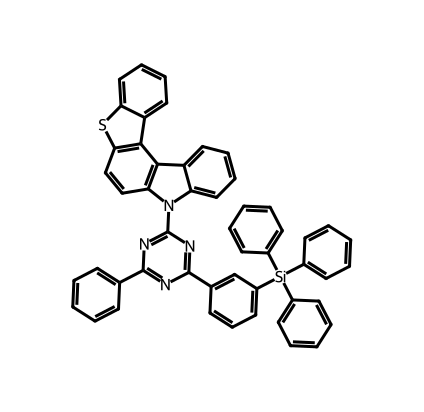 c1ccc(-c2nc(-c3cccc([Si](c4ccccc4)(c4ccccc4)c4ccccc4)c3)nc(-n3c4ccccc4c4c5c(ccc43)sc3ccccc35)n2)cc1